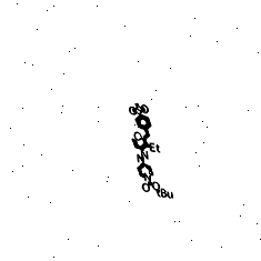 CCC1=C(N=NC2CCN(C(=O)OC(C)(C)C)CC2)C=COC1Cc1ccc(S(C)(=O)=O)cc1